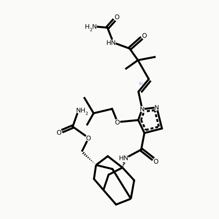 CC(C)COc1c(C(=O)N[C@]23CC4CC(C[C@@](COC(N)=O)(C4)C2)C3)cnn1/C=C/C(C)(C)C(=O)NC(N)=O